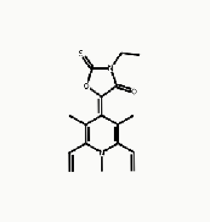 C=CC1=C(C)C(=C2OC(=S)N(CC)C2=O)C(C)=C(C=C)N1C